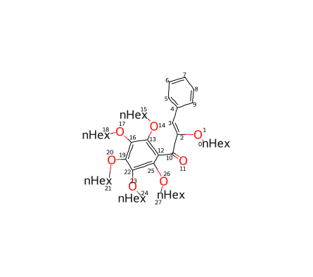 CCCCCCOC(=Cc1ccccc1)C(=O)c1c(OCCCCCC)c(OCCCCCC)c(OCCCCCC)c(OCCCCCC)c1OCCCCCC